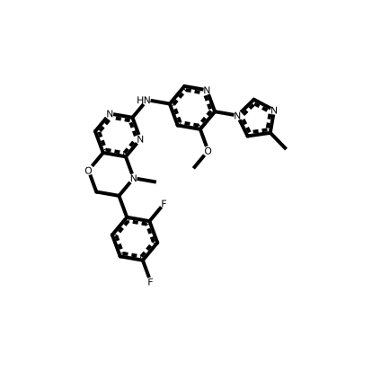 COc1cc(Nc2ncc3c(n2)N(C)C(c2ccc(F)cc2F)CO3)cnc1-n1cnc(C)c1